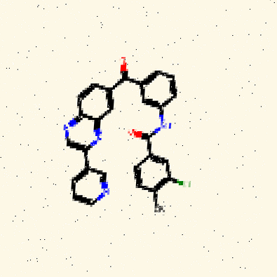 O=C(Nc1cccc(C(=O)c2ccc3ncc(-c4cccnc4)nc3c2)c1)c1ccc(C(F)(F)F)c(Cl)c1